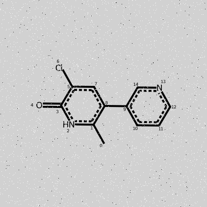 Cc1[nH]c(=O)c(Cl)cc1-c1cccnc1